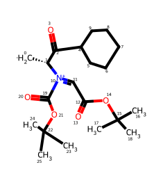 [CH2][C@H](C(=O)C1CCCCC1)[N+](=CC(=O)OC(C)(C)C)C(=O)OC(C)(C)C